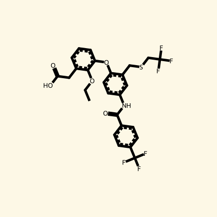 CCOc1c(CC(=O)O)cccc1Oc1ccc(NC(=O)c2ccc(C(F)(F)F)cc2)cc1CSCC(F)(F)F